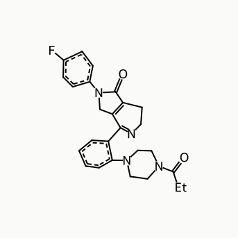 CCC(=O)N1CCN(c2ccccc2C2=NCCC3=C2CN(c2ccc(F)cc2)C3=O)CC1